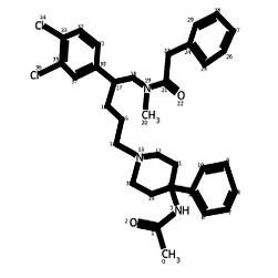 CC(=O)NC1(c2ccccc2)CCN(CCCC(CN(C)C(=O)Cc2ccccc2)c2ccc(Cl)c(Cl)c2)CC1